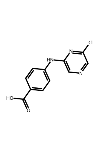 O=C(O)c1ccc(Nc2cncc(Cl)n2)cc1